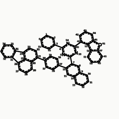 c1ccc(-c2nc(-c3cc4ccccc4cc3-c3ccc(-c4ccc5c6c(cccc46)-c4ccccc4-5)cc3)nc(-c3cccc4oc5ccccc5c34)n2)cc1